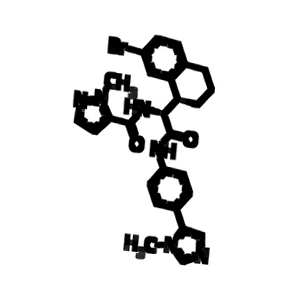 Cn1cncc1-c1ccc(NC(=O)[C@@H](NC(=O)c2ccnn2C)[C@@H]2CCCc3ccc(Br)cc32)cc1